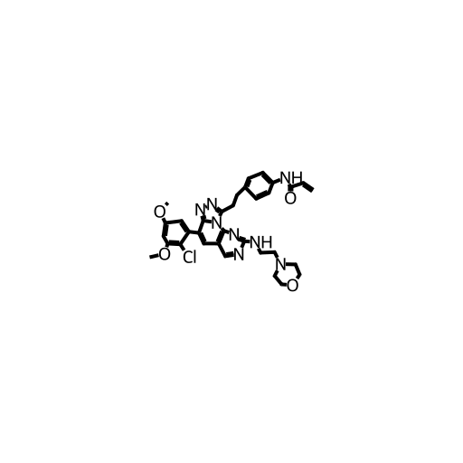 C=CC(=O)Nc1ccc(CCc2nnc3c(-c4cc(OC)cc(OC)c4Cl)cc4cnc(NCCN5CCOCC5)nc4n23)cc1